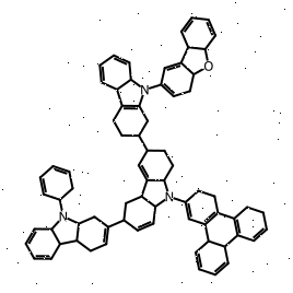 C1=CCC(N2C3C=CC=CC3C3CC=C(C4C=CC5C(C4)C4=CC(C6CCC7=C(C6)N(C6=CCC8OC9C=CC=CC9C8=C6)C6C=CC=CC76)CCC4N5C4=CC5=C(CC4)C4=C(C=CCC4)C4C=CC=CC54)CC32)C=C1